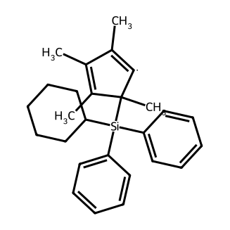 CC1=[C]C(C)([Si](c2ccccc2)(c2ccccc2)C2CCCCC2)C(C)=C1C